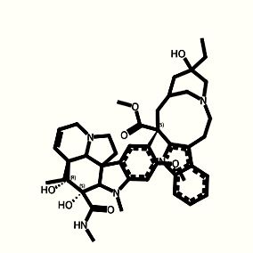 CCC1(O)CC2CN(CCc3c([nH]c4ccccc34)[C@@](C(=O)OC)(c3cc4c(cc3OC)N(C)C3C45CCN4CC=CC(CC)(C45)[C@@H](O)[C@]3(O)C(=O)NC)C2)C1